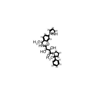 C[C@@H](NC(=O)[C@H](O)[C@@H](O)C(=O)N1CCCC1(C)c1ccccc1)c1ccc(N2C=CCN2)cc1